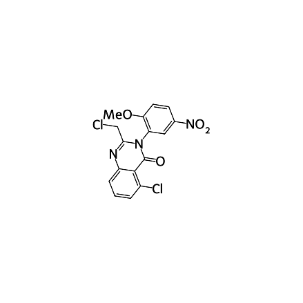 COc1ccc([N+](=O)[O-])cc1-n1c(CCl)nc2cccc(Cl)c2c1=O